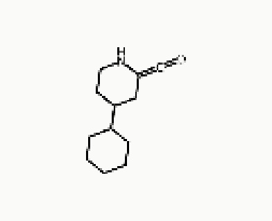 O=C=C1CC(C2CCCCC2)CCN1